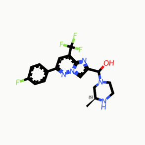 C[C@H]1CN(C(O)c2cn3nc(-c4ccc(F)cc4)cc(C(F)(F)F)c3n2)CCN1